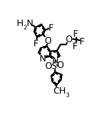 Cc1ccc(S(=O)(=O)n2cc(CCOC(F)(F)F)c3c(Oc4c(F)cc(N)cc4F)ccnc32)cc1